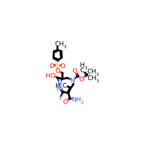 C/C1=C(C(N)=O)\C(I)=N/N2C(O)C2(COS(=O)(=O)c2ccc(C)cc2)CN(C(=O)OC(C)(C)C)C1